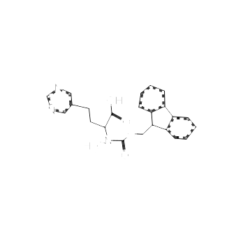 CN(C(=O)OCC1c2ccccc2-c2ccccc21)C(CCc1cncnc1)C(=O)O